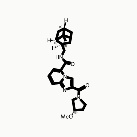 CO[C@H]1CCN(C(=O)c2cn3c(C(=O)NC[C@@H]4CC[C@H]5C[C@H]4C5(C)C)cccc3n2)C1